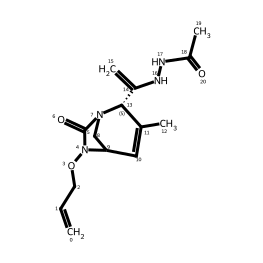 C=CCON1C(=O)N2CC1C=C(C)[C@H]2C(=C)NNC(C)=O